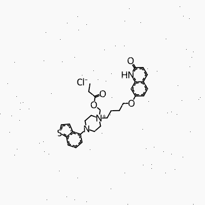 CCC(=O)OC[N+]1(CCCCOc2ccc3ccc(=O)[nH]c3c2)CCN(c2cccc3sccc23)CC1.[Cl-]